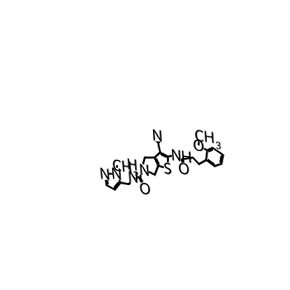 COc1ccccc1CCC(=O)Nc1sc2c(c1C#N)CCN(C(=O)NCc1ccnn1C)C2